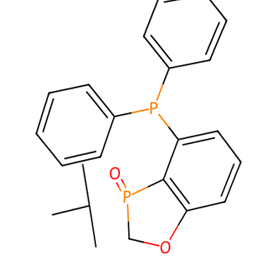 CC(C)(C)[P@]1(=O)COc2cccc(P(c3ccccc3)c3ccccc3)c21